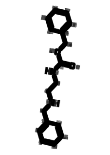 O=C(NCCNCc1ccccc1)OCc1ccccc1